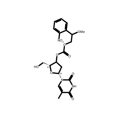 COC(COC(=O)OC1C[C@H](n2cc(C)c(=O)[nH]c2=O)O[C@@H]1CO)c1ccccc1[N+](=O)[O-]